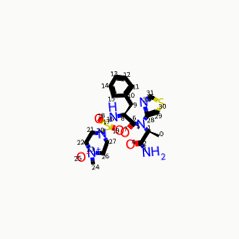 C[C@@H](C(N)=O)N(C(=O)[C@H](Cc1ccccc1)NS(=O)(=O)N1CC[N+](C)([O-])CC1)c1cscn1